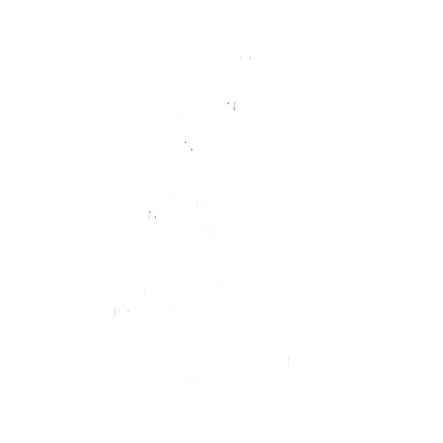 O=C(O)C[C@H](NC(=O)CN1CCN(C(=O)c2ccccc2)CC1=O)C(=O)COc1c(F)c(F)cc(F)c1F